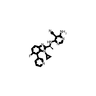 C[C@H](Nc1ncnc(N)c1C#N)c1nc2ccc(F)c(-c3cccnc3)c2n1C1CC1